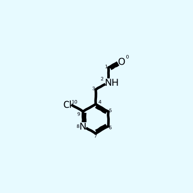 O=CNCc1cccnc1Cl